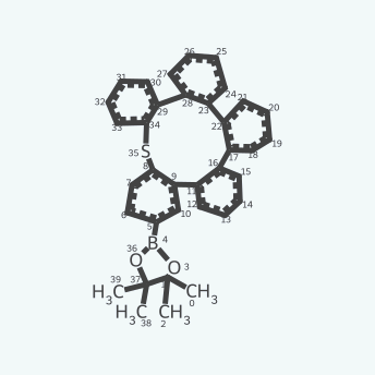 CC1(C)OB(c2ccc3c(c2)-c2ccccc2-c2ccccc2-c2ccccc2-c2ccccc2S3)OC1(C)C